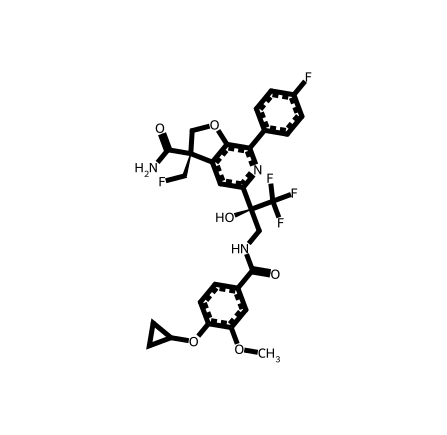 COc1cc(C(=O)NC[C@](O)(c2cc3c(c(-c4ccc(F)cc4)n2)OC[C@@]3(CF)C(N)=O)C(F)(F)F)ccc1OC1CC1